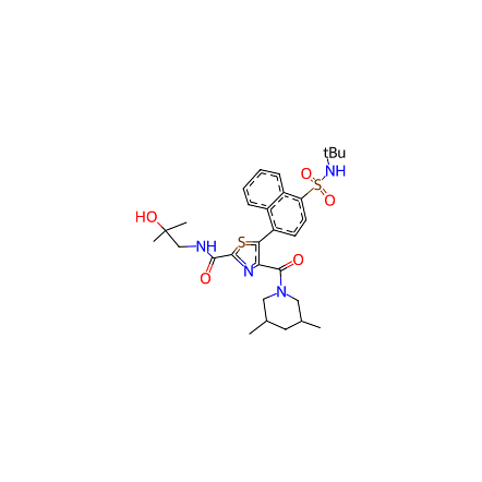 CC1CC(C)CN(C(=O)c2nc(C(=O)NCC(C)(C)O)sc2-c2ccc(S(=O)(=O)NC(C)(C)C)c3ccccc23)C1